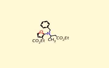 CCOC(=O)CC(C)N(Cc1ccccc1)c1occc1C(=O)OCC